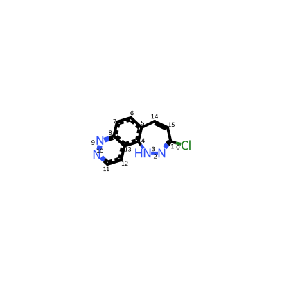 ClC1=NNc2c(ccc3nnccc23)C=C1